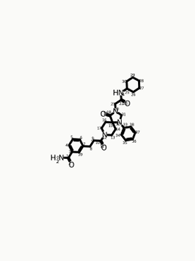 NC(=O)c1cccc(C[CH]C(=O)N2CCC3(CC2)C(=O)N(CC(=O)NC2CCCCC2)CN3c2ccccc2)c1